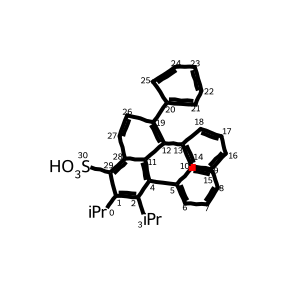 CC(C)c1c(C(C)C)c(-c2ccccc2)c2c(-c3ccccc3)c(-c3ccccc3)ccc2c1S(=O)(=O)O